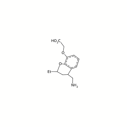 CCC1CC(CN)c2cccc(OCC(=O)O)c2O1